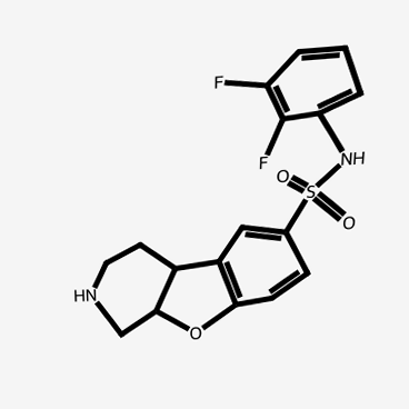 O=S(=O)(Nc1cccc(F)c1F)c1ccc2c(c1)C1CCNCC1O2